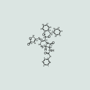 O=C(Cc1ccccc1)N[C@@H]1C(=O)N2C(C(=O)OC(c3ccccc3)c3ccccc3)=C(SC3=CC(=O)OC3)CS[C@H]12